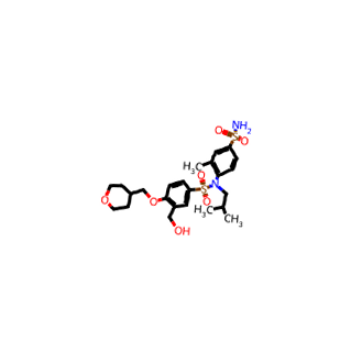 Cc1cc(S(N)(=O)=O)ccc1N(CC(C)C)S(=O)(=O)c1ccc(OCC2CCOCC2)c(CO)c1